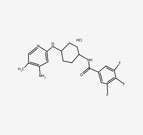 Cc1cnc(NC2CCC(NC(=O)c3cc(F)c(F)c(F)c3)CC2)cc1N.Cl